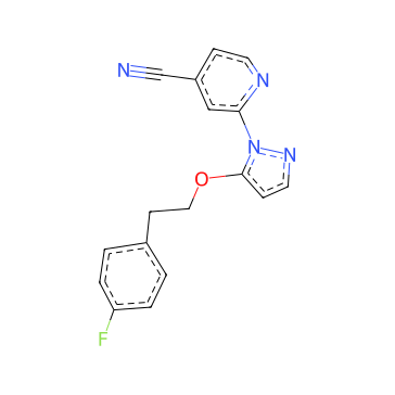 N#Cc1ccnc(-n2nccc2OCCc2ccc(F)cc2)c1